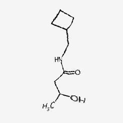 CC(O)CC(=O)NCC1CCC1